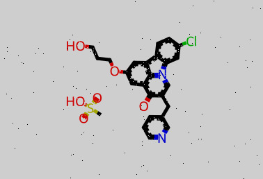 CS(=O)(=O)O.O=c1c(Cc2cccnc2)cn2c3cc(Cl)ccc3c3cc(OCCCO)cc1c32